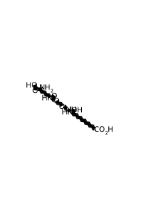 N[C@@H](CCCCNC(=O)COCCOCCNNC(O)CCCCCCCCCCCC(=O)O)C1=C(O)O1